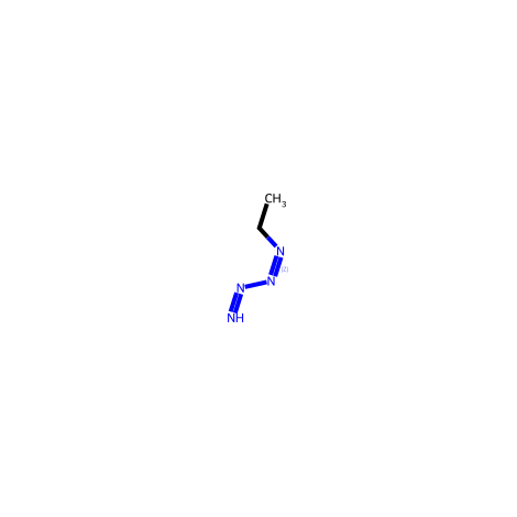 CC/N=N\N=N